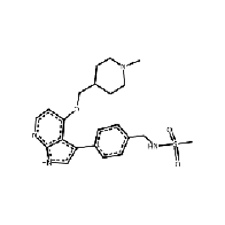 CN1CCC(COc2ccnc3[nH]cc(-c4ccc(CNS(C)(=O)=O)cc4)c23)CC1